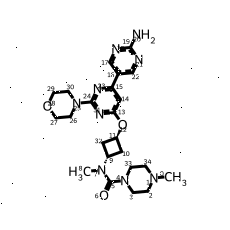 CN1CCN(C(=O)N(C)[C@H]2C[C@H](Oc3cc(-c4cnc(N)nc4)nc(N4CCOCC4)n3)C2)CC1